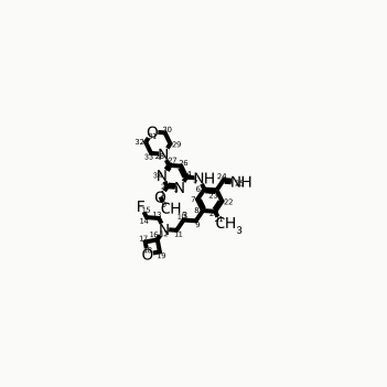 COc1nc(Nc2cc(CCCN(CCF)C3COC3)c(C)cc2C=N)cc(N2CCOCC2)n1